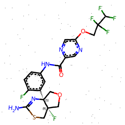 NC1=N[C@@]2(c3cc(NC(=O)c4cnc(OCC(F)(F)C(F)F)cn4)ccc3F)COC[C@@]2(F)CS1